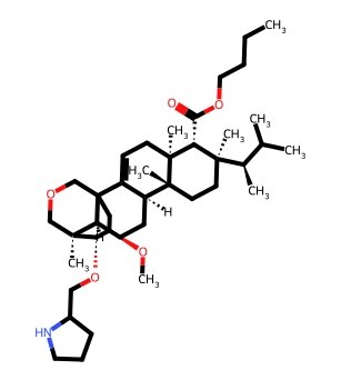 CCCCOC(=O)[C@@H]1[C@@](C)([C@H](C)C(C)C)CC[C@]2(C)[C@H]3CC[C@@H]4C5(COC[C@]4(C)[C@@H](OCC4CCCN4)[C@H](OC)C5)C3=CC[C@@]12C